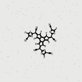 N#CC(=C1C(F)=c2c3c(c4c(c2=C1F)=C(F)C(=C(C#N)c1nc(C#N)c(F)s1)C=4F)=C(F)C(=C(C#N)c1nc(C#N)c(F)s1)C=3F)c1nc(C#N)c(F)s1